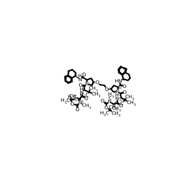 C[C@@H](C(=O)N[C@H](C(=O)N1C[C@@H](OCCO[C@H]2C[C@@H](C(=O)N[C@@H]3CCCc4ccccc43)N(C(=O)[C@@H](NC(=O)[C@H](C)N(C)C(=O)OC(C)(C)C)C(C)(C)C)C2)CC1C(=O)N[C@@H]1CCCc2ccccc21)C(C)(C)C)N(C)C(=O)OC(C)(C)C